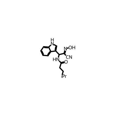 CC(C)CCC(=O)NC(C(C#N)=NO)c1c[nH]c2ccccc12